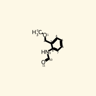 COCc1ccccc1NC=O